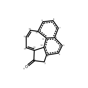 O=C1Cc2ccc3cccc4c3c2C1=CC=C4